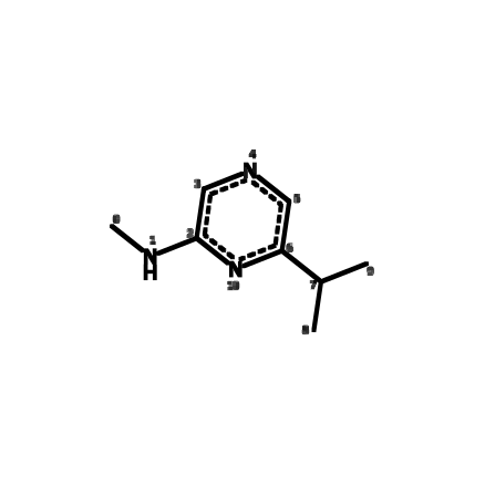 CNc1cncc(C(C)C)n1